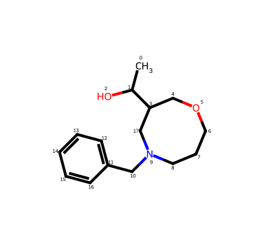 CC(O)C1COCCCN(Cc2ccccc2)C1